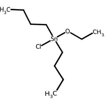 CCC[CH2][Sn]([Cl])([CH2]CCC)[O]CC